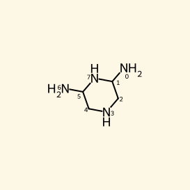 NC1CNCC(N)N1